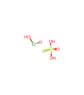 O=S(O)(O)=S.[O-][Cl+]O